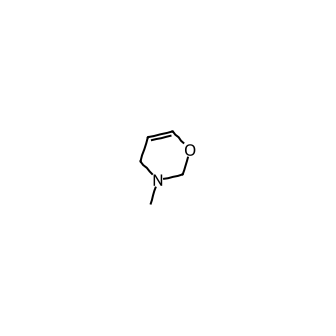 CN1CC=COC1